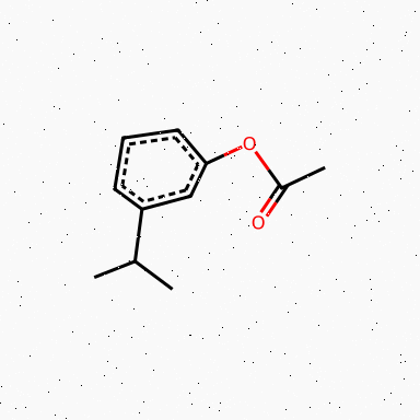 C[C](C)c1cccc(OC(C)=O)c1